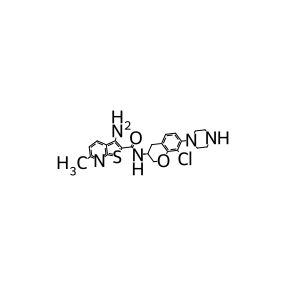 Cc1ccc2c(N)c(C(=O)N[C@@H]3COc4c(ccc(N5CCNCC5)c4Cl)C3)sc2n1